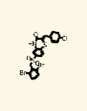 O=C1Nc2cc(S(=O)(=O)Cc3c(Br)cccc3Br)ccc2SC1=Cc1ccc(Cl)cc1